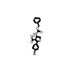 O=C(Nc1csc(-c2ccc(Br)cc2)c1C(=O)O)OCc1ccccc1